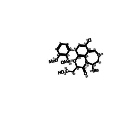 COc1cccc([C@@H]2C=C(Cl)C3=COC[C@@H](C(C)(C)C)N4C(=O)[C@@H](CC(=O)O)OC2=C34)c1OC